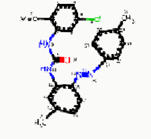 COc1ccc(Cl)cc1NC(=O)Nc1cc(C)ccc1/N=N/c1ccc(C)cc1